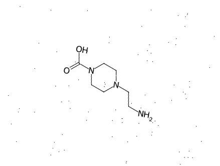 NCCN1CCN(C(=O)O)CC1